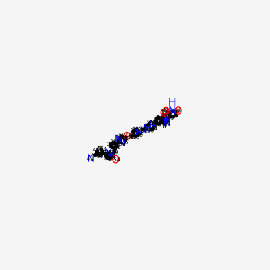 Cc1nn(C2CCC(=O)NC2=O)c(=O)c2ccc(N3CCN(CCN4CCC(COc5cnc(-c6cccc(Cn7nc(-c8cccc(C#N)c8)ccc7=O)c6)nc5)CC4)CC3)cc12